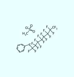 CS(=O)(=O)[O-].FC(F)(F)C(F)(F)C(F)(F)C(F)(F)C(F)(F)C(F)(F)C(F)(F)C(F)(F)[I+]c1ccccc1